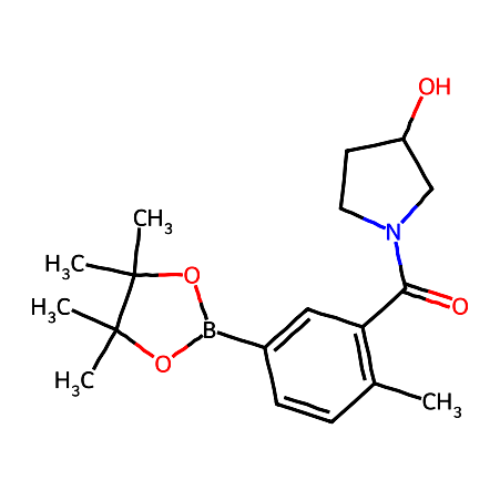 Cc1ccc(B2OC(C)(C)C(C)(C)O2)cc1C(=O)N1CCC(O)C1